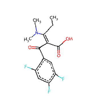 CCC(=C(C(=O)O)C(=O)c1cc(F)c(F)cc1F)N(C)C